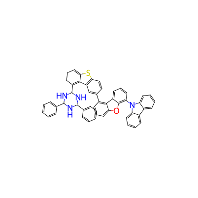 C1=c2sc3ccc(-c4cccc5oc6c(-n7c8ccccc8c8ccccc87)cccc6c45)cc3c2=C(C2NC(c3ccccc3)NC(c3ccccc3)N2)CC1